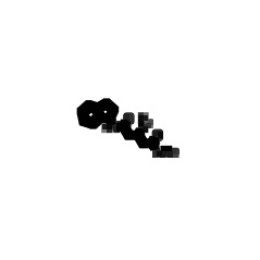 CNC(=O)CC(N)CC(=O)NC1CCc2ccccc21